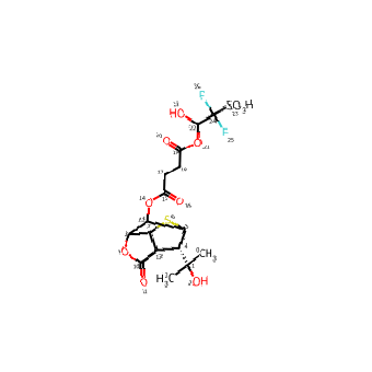 CC(C)(O)[C@H]1C2SC3C(OC(=O)C31)C2OC(=O)CCC(=O)OC(O)C(F)(F)S(=O)(=O)O